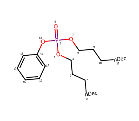 CCCCCCCCCCCCCOP(=O)(OCCCCCCCCCCCCC)Oc1ccccc1